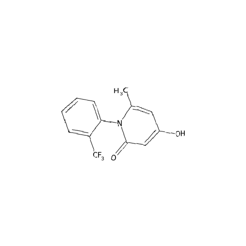 Cc1cc(O)cc(=O)n1-c1ccccc1C(F)(F)F